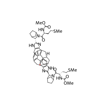 COC(=O)N[C@@H](CCSC)C(=O)N1C2CCC(C2)[C@H]1c1nc2cc(C3=CC4=CC[C@@H]3CCc3ccc(c(-c5ccc6[nH]c([C@@H]7C8CCC(C8)N7C(=O)[C@H](CCSC)NC(=O)OC)nc6c5)c3)CC4)ccc2[nH]1